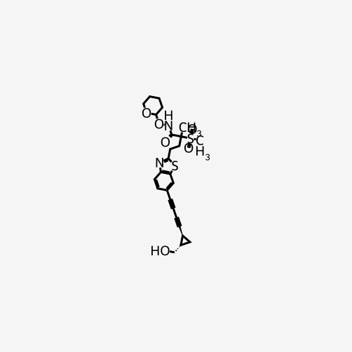 CC(CCc1nc2ccc(C#CC#C[C@H]3C[C@@H]3CO)cc2s1)(C(=O)NOC1CCCCO1)S(C)(=O)=O